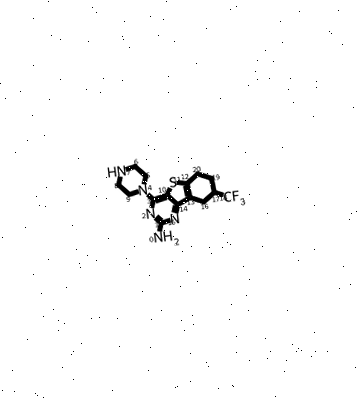 Nc1nc(N2CCNCC2)c2sc3c(c2n1)CC(C(F)(F)F)CC3